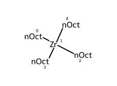 CCCCCCC[CH2][Zr]([CH2]CCCCCCC)([CH2]CCCCCCC)[CH2]CCCCCCC